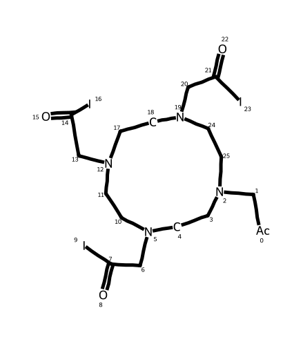 CC(=O)CN1CCN(CC(=O)I)CCN(CC(=O)I)CCN(CC(=O)I)CC1